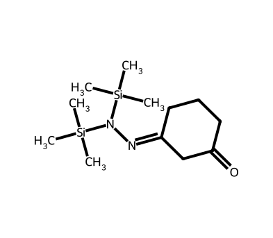 C[Si](C)(C)N(N=C1CCCC(=O)C1)[Si](C)(C)C